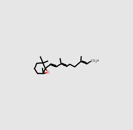 CC(/C=C/C12OC1(C)CCCC2(C)C)=C\CC/C(C)=C/C(=O)O